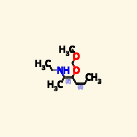 C/C=C\C(OCOC)=C(/C)NCC